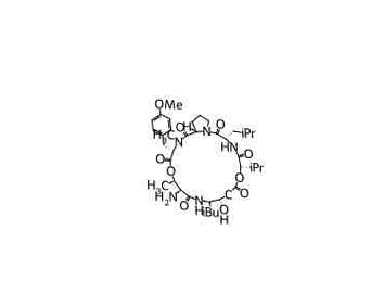 CC[C@H](C)[C@H]1NC(=O)[C@@H](N)[C@@H](C)OC(=O)[C@H](Cc2ccc(OC)cc2)N(C)C(=O)[C@@H]2CCCN2C(=O)[C@H](CC(C)C)NC(=O)[C@H](C(C)C)OC(=O)C[C@@H]1O